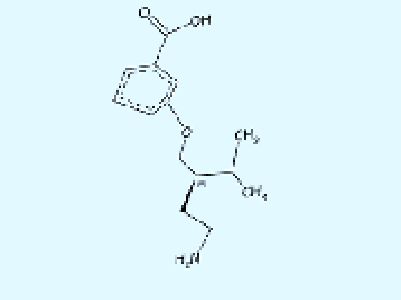 CC(C)[C@@H](CCN)COc1cccc(C(=O)O)c1